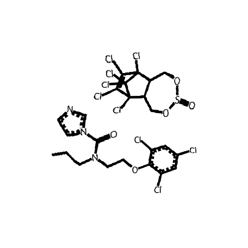 CCCN(CCOc1c(Cl)cc(Cl)cc1Cl)C(=O)n1ccnc1.O=S1OCC2C(CO1)C1(Cl)C(Cl)=C(Cl)C2(Cl)C1(Cl)Cl